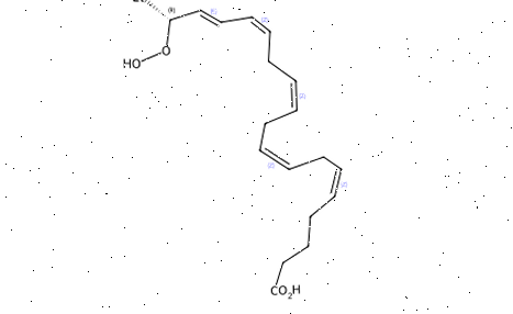 CC[C@H](/C=C/C=C\C/C=C\C/C=C\C/C=C\CCCC(=O)O)OO